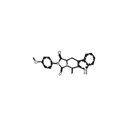 COc1ccc(N2C(=O)C3Cc4c([nH]c5ccccc45)C(C)N3C2=O)cc1